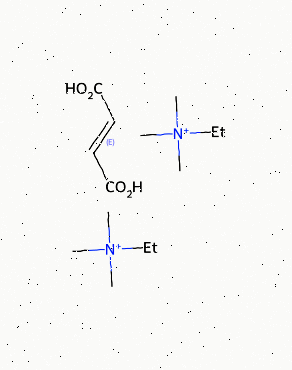 CC[N+](C)(C)C.CC[N+](C)(C)C.O=C(O)/C=C/C(=O)O